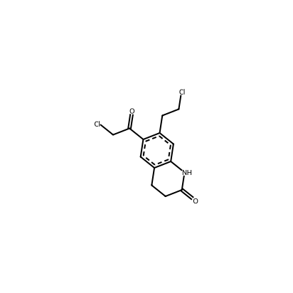 O=C1CCc2cc(C(=O)CCl)c(CCCl)cc2N1